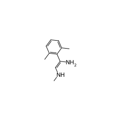 CN/C=C(\N)c1c(C)cccc1C